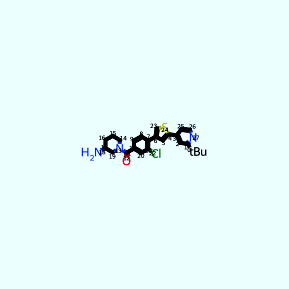 CC(C)(C)c1cc(-c2cc(-c3ccc(C(=O)N4CCCC(N)C4)cc3Cl)cs2)ccn1